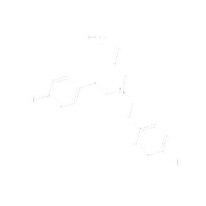 O=C(O)CCCN(CCc1ccc(Cl)cc1)CCc1ccc(Cl)cc1